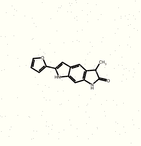 CC1C(=O)Nc2cc3[nH]c(-c4ccco4)cc3cc21